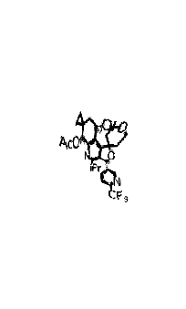 CC(=O)O[C@H]1c2nc(C(C)C)c3c(c2[C@@H](O)CC12CC2)C1(CCOCC1)O[C@@H]3c1ccc(C(F)(F)F)nc1